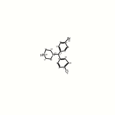 Clc1ccc(C(c2ccc(Br)cc2)N2CCNCC2)cc1